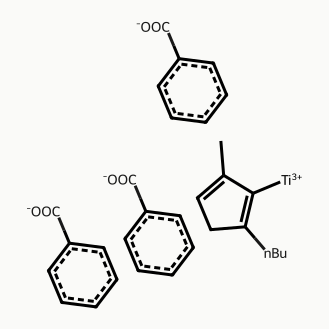 CCCCC1=[C]([Ti+3])C(C)=CC1.O=C([O-])c1ccccc1.O=C([O-])c1ccccc1.O=C([O-])c1ccccc1